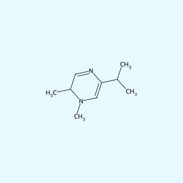 CC(C)C1=CN(C)C(C)C=N1